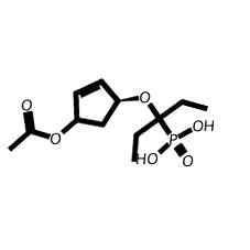 CCC(CC)(O[C@@H]1C=CC(OC(C)=O)C1)P(=O)(O)O